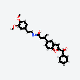 COc1ccc(CCNC(=O)C=C(C)c2ccc3oc(C(=O)c4ccccc4)cc3c2)cc1OC